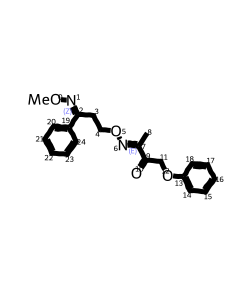 CO/N=C(/CCO/N=C(\C)C(=O)COc1ccccc1)c1ccccc1